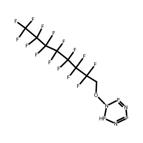 FC(F)(F)C(F)(F)C(F)(F)C(F)(F)C(F)(F)C(F)(F)C(F)(F)CON1P=NP=NP1